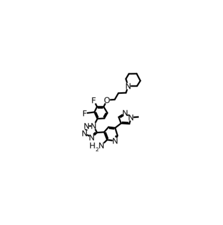 Cn1cc(-c2cnc(N)c(-c3nnnn3-c3ccc(OCCCN4CCCCC4)c(F)c3F)c2)cn1